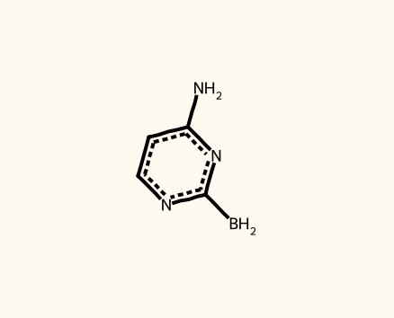 Bc1nccc(N)n1